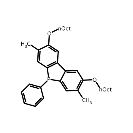 CCCCCCCCOc1cc2c3cc(OCCCCCCCC)c(C)cc3p(-c3ccccc3)c2cc1C